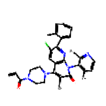 C=CC(=O)N1CCN(c2c(C#N)c(=O)n(-c3c(C(C)C)ccnc3C(C)C)c3nc(-c4ccccc4C)c(Cl)cc23)CC1